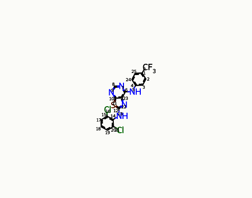 FC(F)(F)c1ccc(Nc2ncnc3sc(Nc4c(Cl)cccc4Cl)nc23)cc1